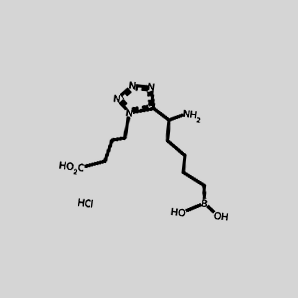 Cl.NC(CCCCB(O)O)c1nnnn1CCCC(=O)O